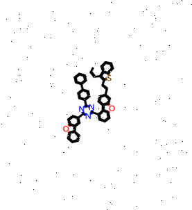 C/C=C\c1c(/C=C/c2ccc3c(c2)oc2cccc(-c4nc(-c5ccc(-c6ccccc6)cc5)nc(-c5ccc6oc7ccccc7c6c5)n4)c23)sc2ccccc12